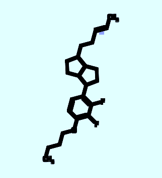 C/C=C/CCC1CCC2C(c3ccc(OCCCC)c(F)c3F)CCC12